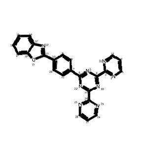 c1cnc(-c2nc(-c3ccc(-c4nc5ccccc5o4)cc3)nc(-c3ncccn3)n2)nc1